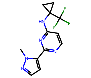 Cn1nccc1-c1nccc(NC2(C(F)(F)F)CC2)n1